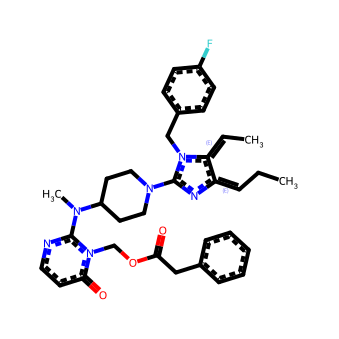 C/C=c1\c(=C/CC)nc(N2CCC(N(C)c3nccc(=O)n3COC(=O)Cc3ccccc3)CC2)n1Cc1ccc(F)cc1